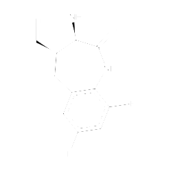 C=C[C@@H]1Cc2cc(F)cc(F)c2NC(=O)[C@@H]1N